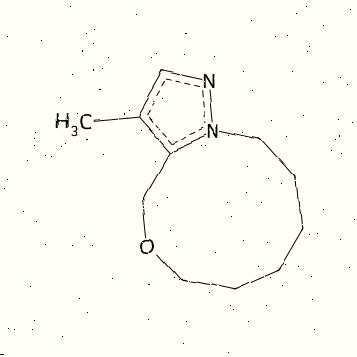 Cc1cnn2c1COCCCCCC2